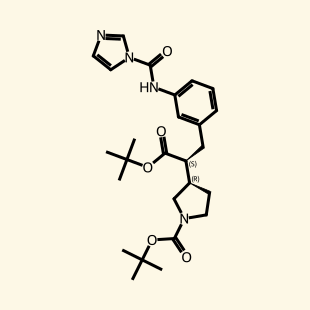 CC(C)(C)OC(=O)[C@@H](Cc1cccc(NC(=O)n2ccnc2)c1)[C@H]1CCN(C(=O)OC(C)(C)C)C1